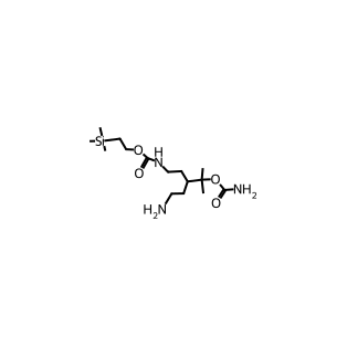 CC(C)(OC(N)=O)C(CCN)CCNC(=O)OCC[Si](C)(C)C